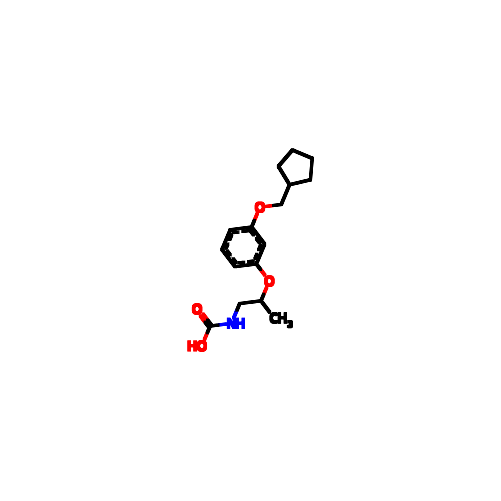 CC(CNC(=O)O)Oc1cccc(OCC2CCCC2)c1